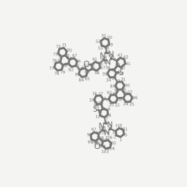 c1ccc(-c2nc(-c3ccc4c(c3)sc3cccc(-c5ccc6c7ccccc7c7ccc(-c8cccc9c8sc8cccc(-c%10nc(-c%11ccccc%11)nc(-c%11ccc%12c(c%11)oc%11c(-c%13ccc%14c%15ccccc%15c%15ccccc%15c%14c%13)cccc%11%12)n%10)c89)cc7c6c5)c34)nc(-c3cccc4oc5ccccc5c34)n2)cc1